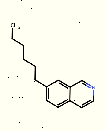 CCCCCCc1ccc2ccncc2c1